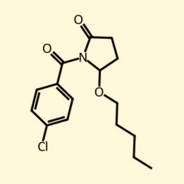 CCCCCOC1CCC(=O)N1C(=O)c1ccc(Cl)cc1